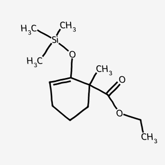 CCOC(=O)C1(C)CCCC=C1O[Si](C)(C)C